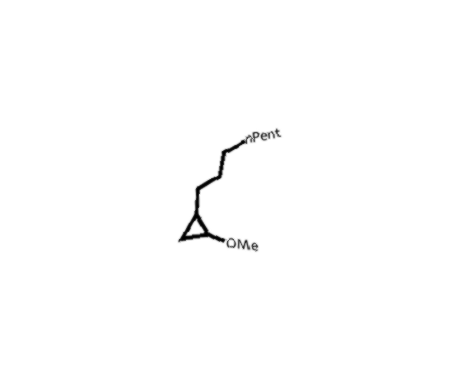 CCCCCCCCC1CC1OC